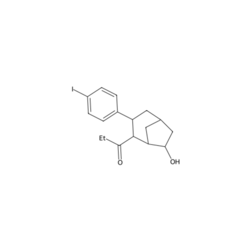 CCC(=O)C1C(c2ccc(I)cc2)CC2CC(O)C1C2